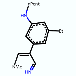 CCCCCNc1cc(CC)cc(/C(C=N)=C/NC)c1